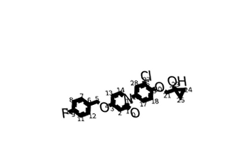 O=c1cc(OCc2ccc(F)cc2)ccn1-c1ccc(OCC2(O)CC2)c(Cl)c1